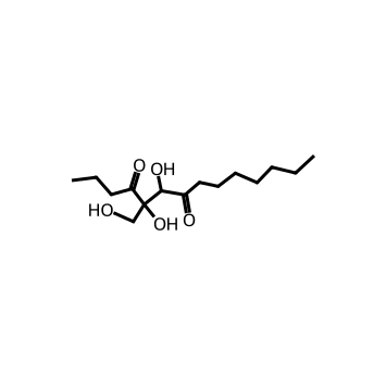 CCCCCCCC(=O)C(O)C(O)(CO)C(=O)CCC